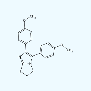 COc1ccc(-c2nc3n(c2-c2ccc(OC)cc2)CCS3)cc1